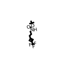 CC(C)(C)OC(=O)NCCCC12CC(C(F)(F)F)(C1)C2